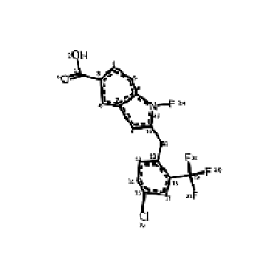 O=C(O)c1ccc2c(c1)cc(Cc1ccc(Cl)cc1C(F)(F)F)n2F